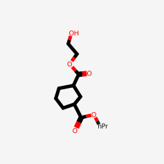 CCCOC(=O)C1CCCC(C(=O)OCCO)C1